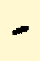 N#C[C@@]1(C2CC2)CCN(c2ccnc(Nc3cccnn3)c2)C1=O